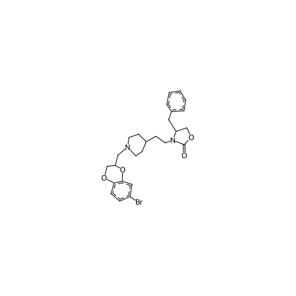 O=C1OCC(Cc2ccccc2)N1CCC1CCN(CC2COc3ccc(Br)cc3O2)CC1